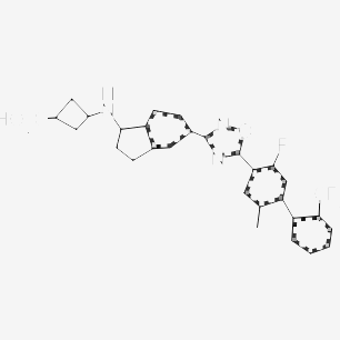 Cc1cc(-c2nc(-c3ccc4c(c3)CCC4NC3CC(C(=O)O)C3)no2)c(F)cc1-c1ccccc1C(F)(F)F